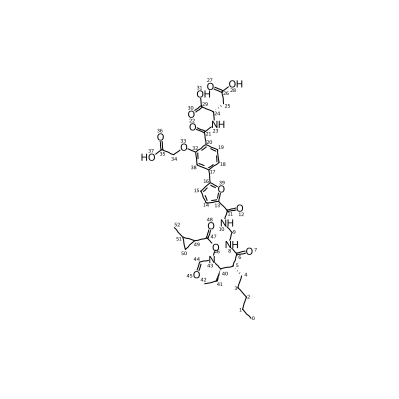 CCCCC[C@@H](C(=O)NCNC(=O)c1ccc(-c2ccc(C(=O)N[C@@H](CC(=O)O)C(=O)O)c(OCC(=O)O)c2)o1)[C@@H](CC)N(C=O)OC(=O)C1CC1C